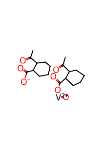 CC(=O)C1CCCCC1C(=O)[O-].CC(=O)C1CCCCC1C(=O)[O-].[O]=[V+2]